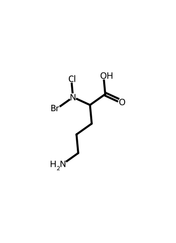 NCCCC(C(=O)O)N(Cl)Br